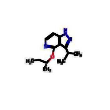 CC[C@@H](C)Oc1nccc2[nH]nc(C(C)C)c12